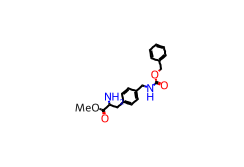 COC(=O)C(N)Cc1ccc(CNC(=O)OCc2ccccc2)cc1